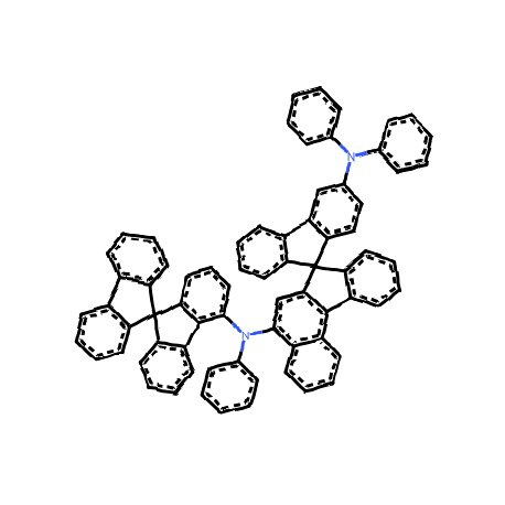 c1ccc(N(c2ccccc2)c2ccc3c(c2)-c2ccccc2C32c3ccccc3-c3c2cc(N(c2ccccc2)c2cccc4c2-c2ccccc2C42c4ccccc4-c4ccccc42)c2ccccc32)cc1